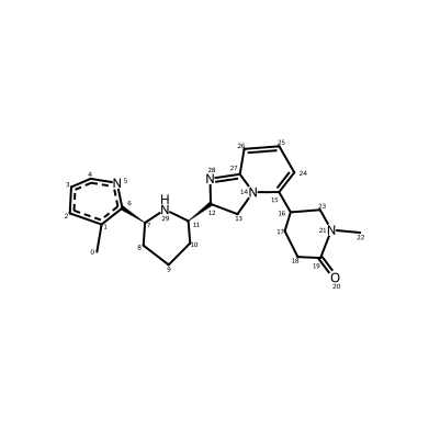 Cc1cccnc1[C@@H]1CCC[C@H](C2CN3C(C4CCC(=O)N(C)C4)=CC=CC3=N2)N1